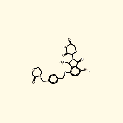 Bc1ccc(OCc2ccc(CN3CCOCC3=O)cc2)c2c1C(=O)N(C1CCC(=O)NC1=O)C2B